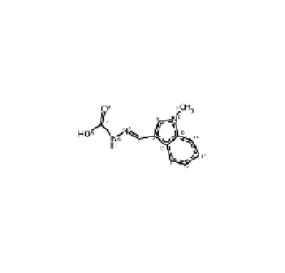 Cn1cc(C=NNC(=O)O)c2ccccc21